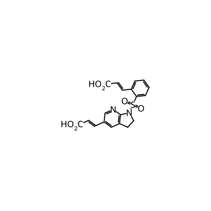 O=C(O)C=Cc1cnc2c(c1)CCN2S(=O)(=O)c1ccccc1C=CC(=O)O